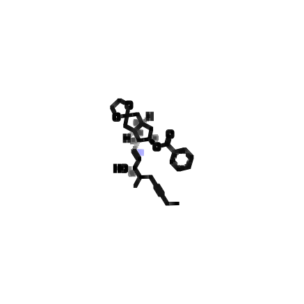 CCC#CCC(C)[C@H](O)/C=C/[C@@H]1[C@H]2CC3(C[C@H]2C[C@H]1OC(=O)c1ccccc1)OCCO3